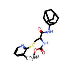 CCOC(=O)c1cccnc1SCC(NC(=O)OC(C)(C)C)C(=O)NC1C2CC3CC(C2)CC1C3